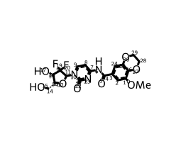 COc1cc(C(=O)Nc2ccn(C3O[C@H](CO)[C@@H](O)C3(F)F)c(=O)n2)cc2c1OCCO2